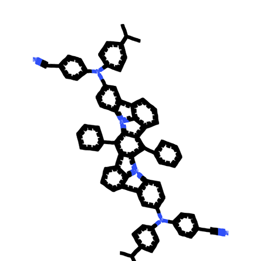 CC(C)c1ccc(N(c2ccc(C#N)cc2)c2ccc3c(c2)c2cccc4c5c(-c6ccccc6)c6c(c(-c7ccccc7)c5n3c24)c2cccc3c4cc(N(c5ccc(C#N)cc5)c5ccc(C(C)C)cc5)ccc4n6c32)cc1